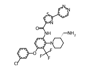 NC[C@@H]1CCCN(c2c(NC(=O)c3csc(-c4ccnnc4)n3)ccc(Oc3cccc(Cl)c3)c2C(F)(F)F)C1